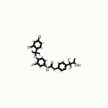 CC(O)C(F)(F)c1ccc(CC(=O)Nc2ccc(OC(C)(C)c3ccc(Cl)cc3Cl)c(F)c2)cc1